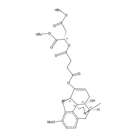 CCCCOC(=O)C[C@H](OC(=O)CCC(=O)OC1=CC[C@@]2(O)[C@H]3Cc4ccc(OC)c5c4[C@@]2(CCN3C)[C@H]1O5)C(=O)OCCCC